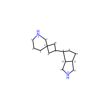 C1CNCC2(C1)CC(C1CCC3CNCC31)C2